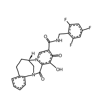 O=C(NCc1c(F)cc(F)cc1F)c1cn2c(c(O)c1=O)C(=O)N1C[C@@H]2CCc2ccccc21